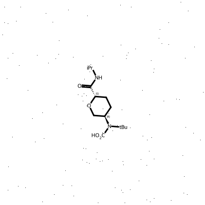 CC(C)NC(=O)[C@@H]1CC[C@@H](N(C(=O)O)C(C)(C)C)CO1